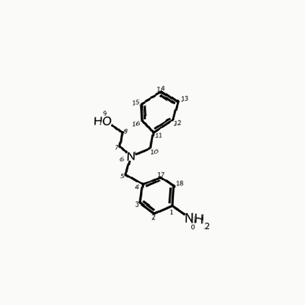 Nc1ccc(CN(CCO)Cc2ccccc2)cc1